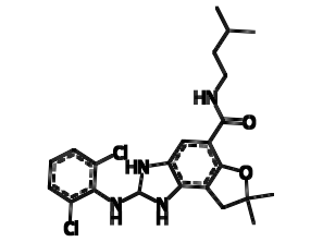 CC(C)CCNC(=O)c1cc2c(c3c1OC(C)(C)C3)NC(Nc1c(Cl)cccc1Cl)N2